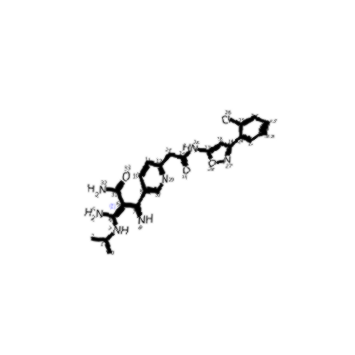 CC(C)N/C(N)=C(\C(=N)c1ccc(CC(=O)Nc2cc(-c3ccccc3Cl)no2)nc1)C(N)=O